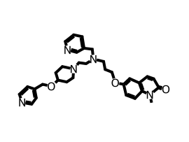 Cn1c(=O)ccc2cc(OCCCN(CCN3CCC(OCc4ccncc4)CC3)Cc3cccnc3)ccc21